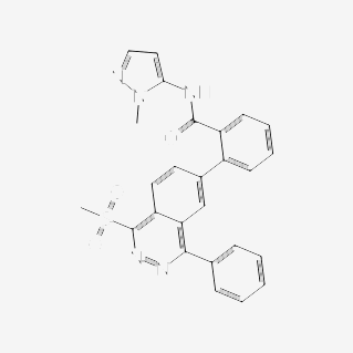 Cn1nccc1NC(=O)c1ccccc1-c1ccc2c(S(C)(=O)=O)nnc(-c3ccccc3)c2c1